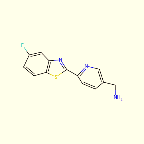 NCc1ccc(-c2nc3cc(F)ccc3s2)nc1